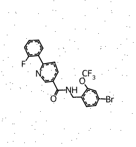 O=C(NCc1ccc(Br)cc1OC(F)(F)F)c1ccc(-c2ccccc2F)nc1